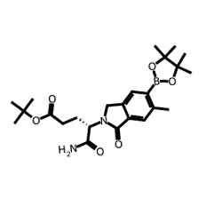 Cc1cc2c(cc1B1OC(C)(C)C(C)(C)O1)CN([C@@H](CCC(=O)OC(C)(C)C)C(N)=O)C2=O